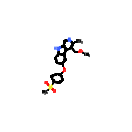 COCc1c(C)ncc2[nH]c3ccc(Oc4ccc(S(C)(=O)=O)cc4)cc3c12